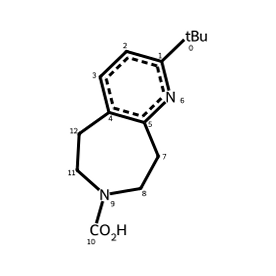 CC(C)(C)c1ccc2c(n1)CCN(C(=O)O)CC2